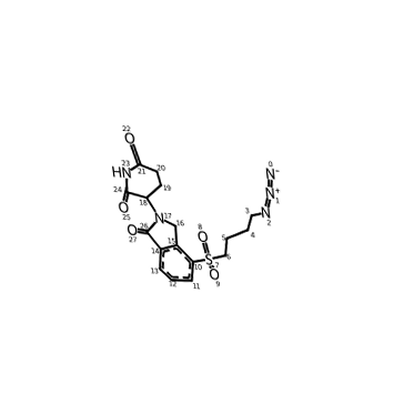 [N-]=[N+]=NCCCCS(=O)(=O)c1cccc2c1CN(C1CCC(=O)NC1=O)C2=O